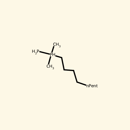 CCCCCCCCC[PH](C)(C)P